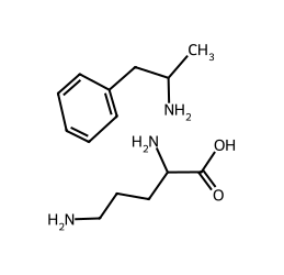 CC(N)Cc1ccccc1.NCCCC(N)C(=O)O